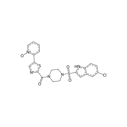 O=C(c1ncc(-c2cccc[n+]2[O-])s1)N1CCN(S(=O)(=O)c2cc3cc(Cl)ccc3[nH]2)CC1